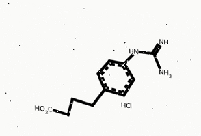 Cl.N=C(N)Nc1ccc(CCCC(=O)O)cc1